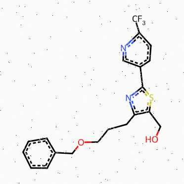 OCc1sc(-c2ccc(C(F)(F)F)nc2)nc1CCCOCc1ccccc1